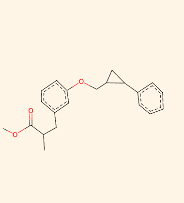 COC(=O)C(C)Cc1cccc(OCC2CC2c2ccccc2)c1